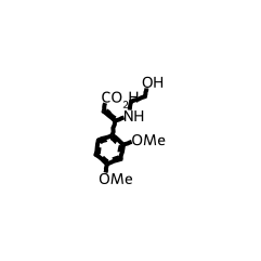 COc1ccc(/C(=C/C(=O)O)NCCO)c(OC)c1